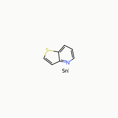 [Sn].c1cnc2ccsc2c1